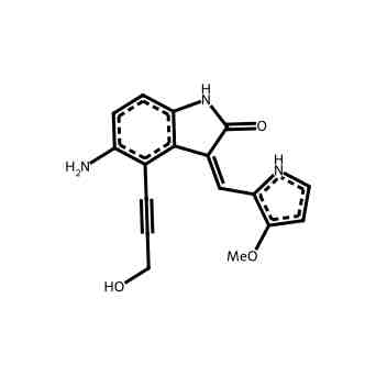 COc1cc[nH]c1C=C1C(=O)Nc2ccc(N)c(C#CCO)c21